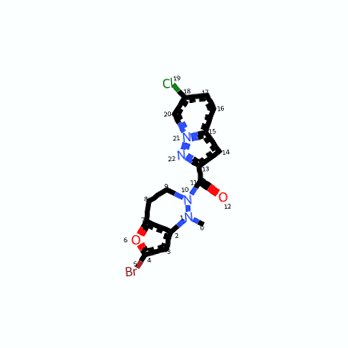 CN1c2cc(Br)oc2CCN1C(=O)c1cc2ccc(Cl)cn2n1